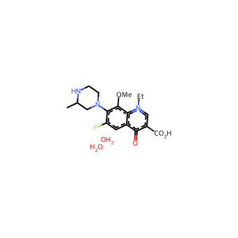 CCn1cc(C(=O)O)c(=O)c2cc(F)c(N3CCNC(C)C3)c(OC)c21.O.O